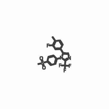 Cc1ccc(-c2cnc(C(F)(F)F)n2-c2ccc(S(C)(=O)=O)cc2)cc1F